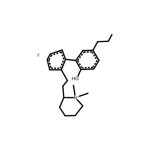 CCCc1ccc(O)c(-c2ccccc2CCC2CCCC[N+]2(C)C)c1.[I-]